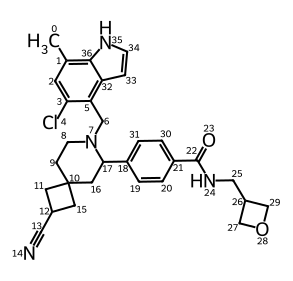 Cc1cc(Cl)c(CN2CCC3(CC(C#N)C3)CC2c2ccc(C(=O)NCC3COC3)cc2)c2cc[nH]c12